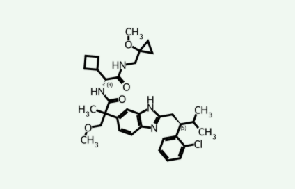 COCC(C)(C(=O)N[C@@H](C(=O)NCC1(OC)CC1)C1CCC1)c1ccc2nc(C[C@H](c3ccccc3Cl)C(C)C)[nH]c2c1